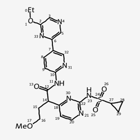 CCOc1cncc(-c2ccc(NC(=O)C(CCOC)c3ccnc(NS(=O)(=O)C4CC4)n3)nc2)n1